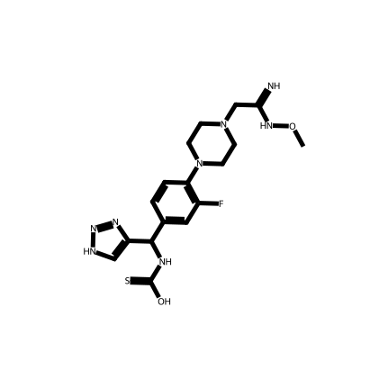 CONC(=N)CN1CCN(c2ccc(C(NC(O)=S)c3c[nH]nn3)cc2F)CC1